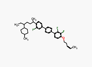 C/C=C\CCOc1ccc(-c2ccc(-c3ccc(C(C)CCC(CC)C4CCC(C)CC4)c(F)c3)cc2)c(F)c1F